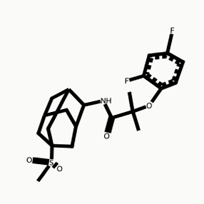 CC(C)(Oc1ccc(F)cc1F)C(=O)NC1C2CC3CC1CC(S(C)(=O)=O)(C3)C2